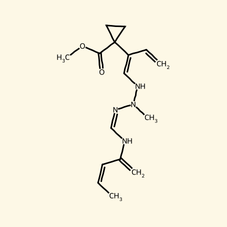 C=C/C(=C\NN(C)/N=C\NC(=C)/C=C\C)C1(C(=O)OC)CC1